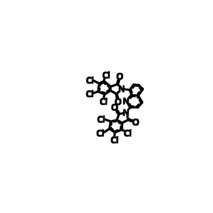 O=C1c2c(Cl)c(Cl)c(Cl)c(Cl)c2C(=O)N1c1ccc2cccc(N3C(=O)c4c(Cl)c(Cl)c(Cl)c(Cl)c4C3=O)c2n1